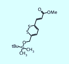 COC(=O)C=CC1=CC=C(CO[Si](C)(C)C(C)(C)C)SS1